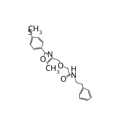 CSc1ccc(-c2nc(COCC(=O)NCCc3ccccc3)c(C)o2)cc1